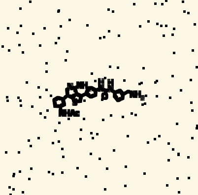 CC(=O)Nc1cccc(-c2cnc(N)c3c(-c4ccc(NC(=O)Nc5cccc(CN)c5)cc4)csc23)c1